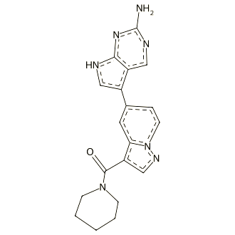 Nc1ncc2c(-c3ccn4ncc(C(=O)N5CCCCC5)c4c3)c[nH]c2n1